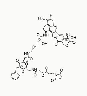 CC[C@@]1(O)C(=O)OCc2c1cc1n(c2=O)Cc2c-1nc1cc(F)c(C)c3c1c2[C@@H](NC(=O)[C@H](O)CCOCNC(=O)CNC(=O)[C@H](Cc1ccccc1)NC(=O)CNC(=O)CNC(=O)CCN1C(=O)C=CC1=O)CC3